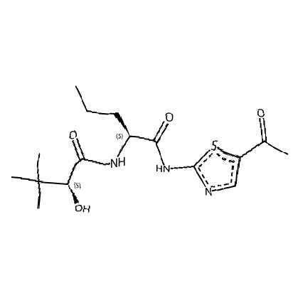 CCC[C@H](NC(=O)[C@@H](O)C(C)(C)C)C(=O)Nc1ncc(C(C)=O)s1